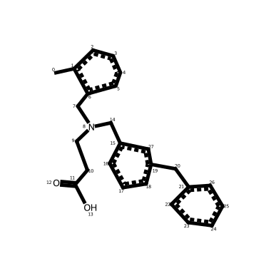 Cc1ccccc1CN(CCC(=O)O)Cc1cccc(Cc2ccccc2)c1